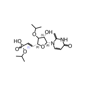 C=C1NC(=O)C=CN1[C@@H]1O[C@H](/C=C/P(=O)(O)OC(C)C)C(OC(C)C)[C@@H]1O